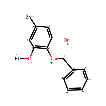 CCOc1c[c]([Zn+])ccc1OCc1ccccc1.[Br-]